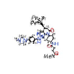 CNC(=O)CCC(=O)NC1CCC(n2c(=O)cc(C#C[Si](C(C)C)(C(C)C)C(C)C)c3cnc(Nc4ccc(N5CCN(C)CC5)cc4)nc32)CC1